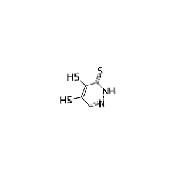 S=c1[nH]ncc(S)c1S